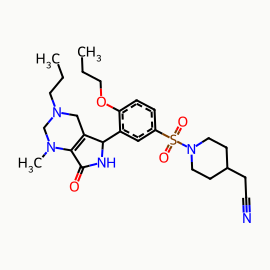 CCCOc1ccc(S(=O)(=O)N2CCC(CC#N)CC2)cc1C1NC(=O)C2=C1CN(CCC)CN2C